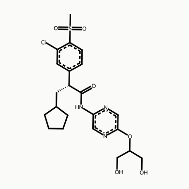 CS(=O)(=O)c1ccc([C@@H](CC2CCCC2)C(=O)Nc2cnc(OC(CO)CO)cn2)cc1Cl